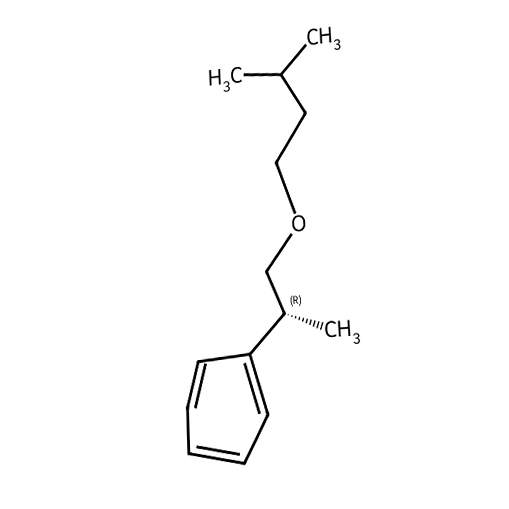 CC(C)CCOC[C@H](C)c1ccccc1